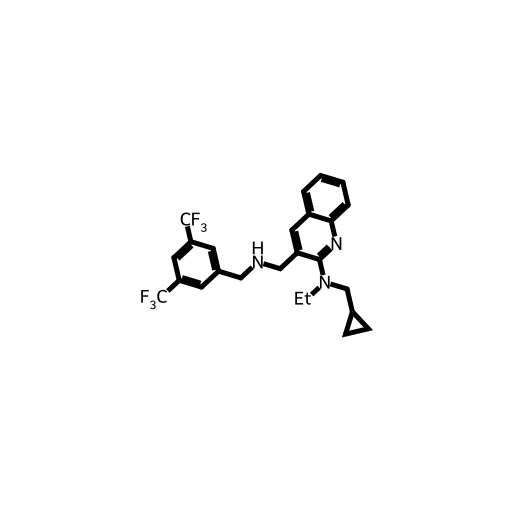 CCN(CC1CC1)c1nc2ccccc2cc1CNCc1cc(C(F)(F)F)cc(C(F)(F)F)c1